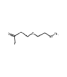 COCCOCCC(=O)F